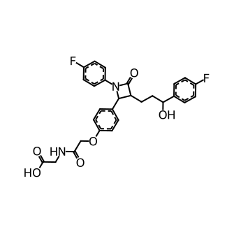 O=C(O)CNC(=O)COc1ccc(C2C(CCC(O)c3ccc(F)cc3)C(=O)N2c2ccc(F)cc2)cc1